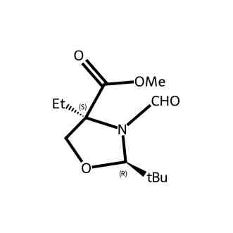 CC[C@@]1(C(=O)OC)CO[C@H](C(C)(C)C)N1C=O